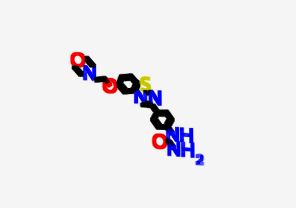 NC(=O)Nc1ccc(-c2cn3c(n2)sc2ccc(OCCN4CCOCC4)cc23)cc1